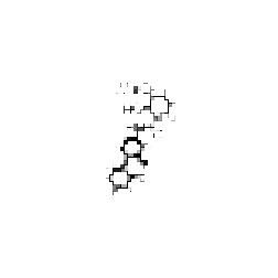 CO[C@@H]1CC[C@H](C)[C@H](C(=O)Nc2ccc(-c3ccccc3F)c(F)c2)C1C#N